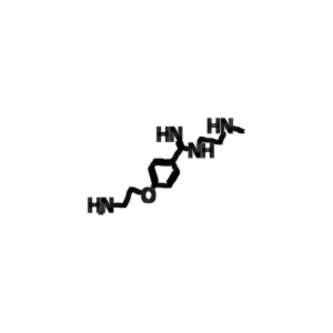 CNCCNC(=N)c1ccc(OCCNC)cc1